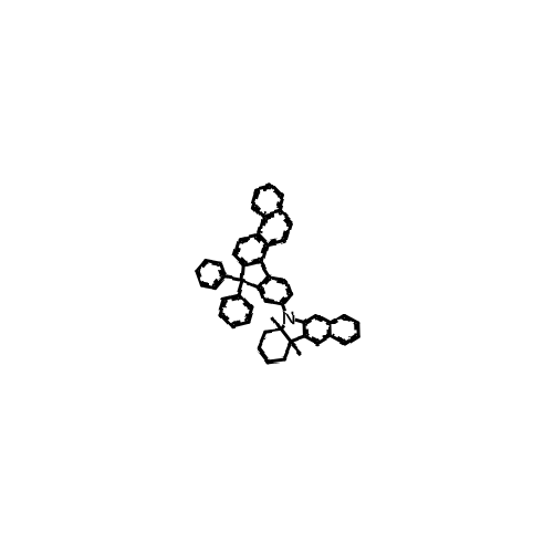 CC12CCCCC1(C)N(c1ccc3c(c1)C(c1ccccc1)(c1ccccc1)c1ccc4c(ccc5ccccc54)c1-3)c1cc3ccccc3cc12